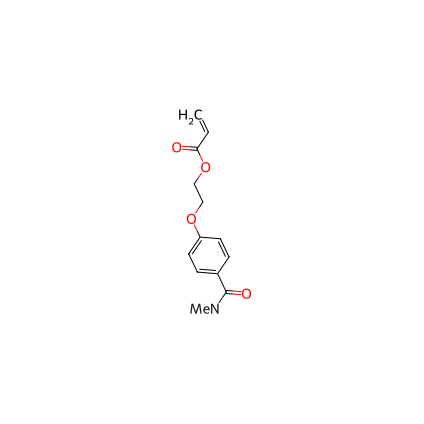 C=CC(=O)OCCOc1ccc(C(=O)NC)cc1